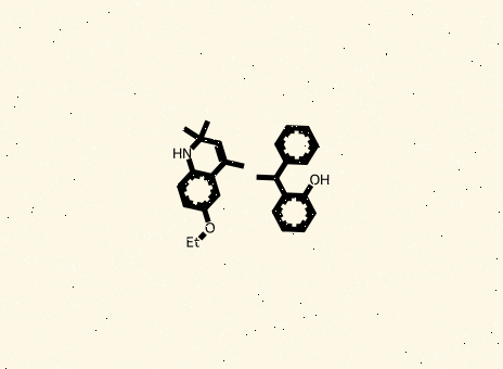 CC(c1ccccc1)c1ccccc1O.CCOc1ccc2c(c1)C(C)=CC(C)(C)N2